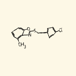 Cc1cccc2oc(SCc3ccc(Cl)cc3)nc12